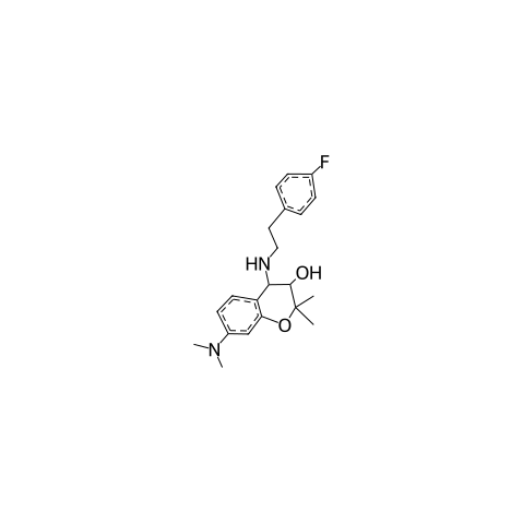 CN(C)c1ccc2c(c1)OC(C)(C)C(O)C2NCCc1ccc(F)cc1